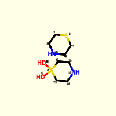 C1CSCCN1.OS1(O)CCNCC1